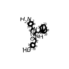 Nc1ccc(-c2cnc(NC(=O)Cc3ccc(O)cc3)c(CC34CC5CC(CC(C5)C3)C4)n2)cc1